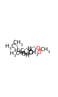 CC(=O)OC1=CC2=CC[C@H]3[C@@H]4CC[C@H]([C@H](C)CCCC(C)C)[C@@]4(C)CC[C@@H]3[C@@]2(C)CC1